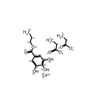 CCC(=O)[O-].CCC(=O)[O-].CCCOC(=O)c1cc(O)c(O)c(O)c1.[Ca+2]